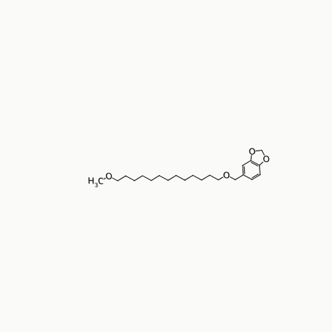 COCCCCCCCCCCCCCOCc1ccc2c(c1)OCO2